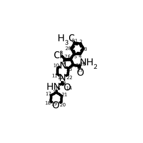 Cc1cccc(C2=C(Cl)N3CCN(C(=O)NC4CCOCC4)CC3C2C(N)=O)c1